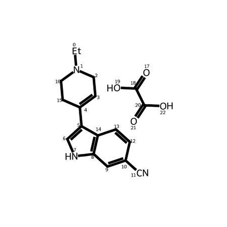 CCN1CC=C(c2c[nH]c3cc(C#N)ccc23)CC1.O=C(O)C(=O)O